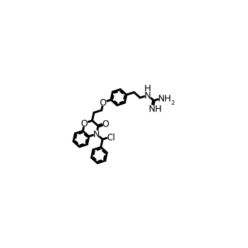 N=C(N)NCCc1ccc(OCCC2Oc3ccccc3N(C(Cl)c3ccccc3)C2=O)cc1